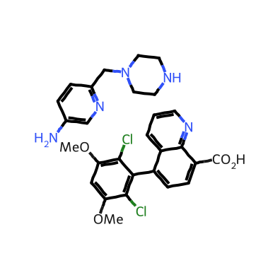 COc1cc(OC)c(Cl)c(-c2ccc(C(=O)O)c3ncccc23)c1Cl.Nc1ccc(CN2CCNCC2)nc1